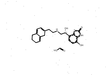 O=CO.O=c1[nH]c2c(O)ccc([C@@H](O)CNCCC3=CC=C4CCCC=C4C3)c2s1